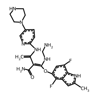 C=C(Nc1ccc(N2CCNCC2)cn1)/C(C(N)=O)=C(\NCN)Oc1cc(F)c2[nH]c(C)cc2c1F